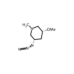 CO[C@@H]1C[C@H](N=[N+]=[N-])CN(C)C1